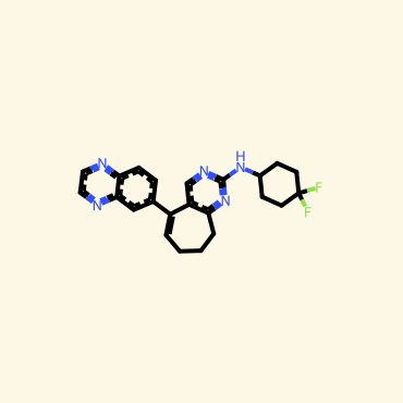 FC1(F)CCC(Nc2ncc3c(n2)CCCC=C3c2ccc3nccnc3c2)CC1